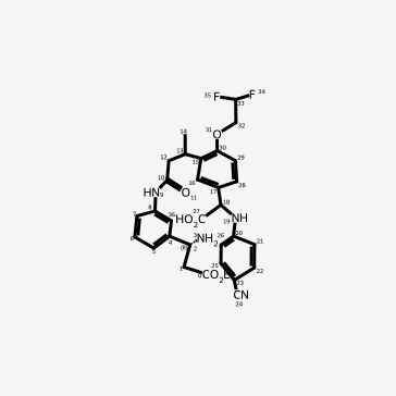 CCOC(=O)C[C@@H](N)c1cccc(NC(=O)CC(C)c2cc(C(Nc3ccc(C#N)cc3)C(=O)O)ccc2OCC(F)F)c1